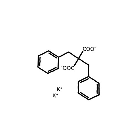 O=C([O-])C(Cc1ccccc1)(Cc1ccccc1)C(=O)[O-].[K+].[K+]